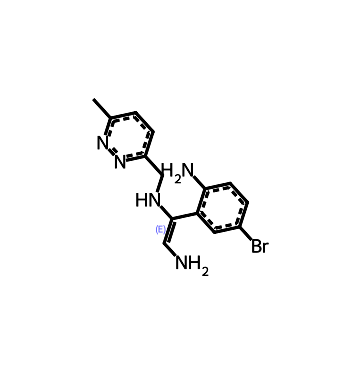 Cc1ccc(CN/C(=C/N)c2cc(Br)ccc2N)nn1